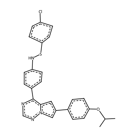 CC(C)Oc1ccc(-c2cc3c(-c4ccc(NSc5ccc(Cl)cc5)cc4)ncnn3c2)cc1